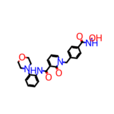 O=C(NO)c1ccc(Cn2cccc(C(=O)Nc3ccccc3N3CCOCC3)c2=O)cc1